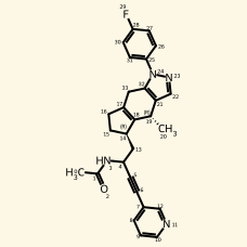 CC(=O)NC(C#Cc1cccnc1)C[C@H]1CCC2=C1[C@@H](C)c1cnn(-c3ccc(F)cc3)c1C2